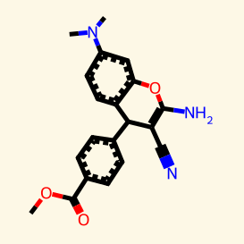 COC(=O)c1ccc(C2C(C#N)=C(N)Oc3cc(N(C)C)ccc32)cc1